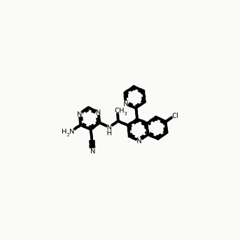 CC(Nc1ncnc(N)c1C#N)c1cnc2ccc(Cl)cc2c1-c1ccccn1